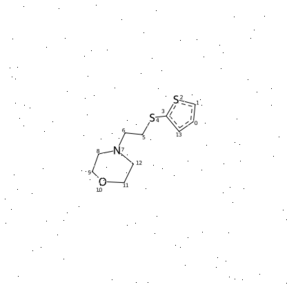 c1csc(SCCN2CCOCC2)c1